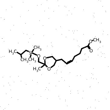 COC(=O)CCC/C=C\CC1COC(C)(CO[Si](C)(C)CC(C)C)OC1